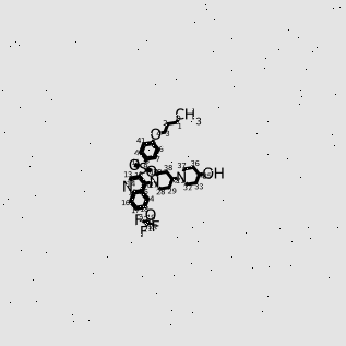 CCCCOc1ccc(S(=O)(=O)c2cnc3ccc(OC(F)(F)F)cc3c2N2CCC(N3CCC(O)CC3)CC2)cc1